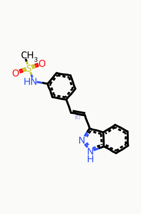 CS(=O)(=O)Nc1cccc(/C=C/c2n[nH]c3ccccc23)c1